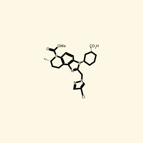 COC(=O)N1c2ccc3c(nc(Cn4cc(Cl)cn4)n3[C@@H]3CCC[C@@H](C(=O)O)C3)c2CC[C@@H]1C